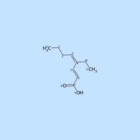 CCCC=C(C=CC(=O)O)CC